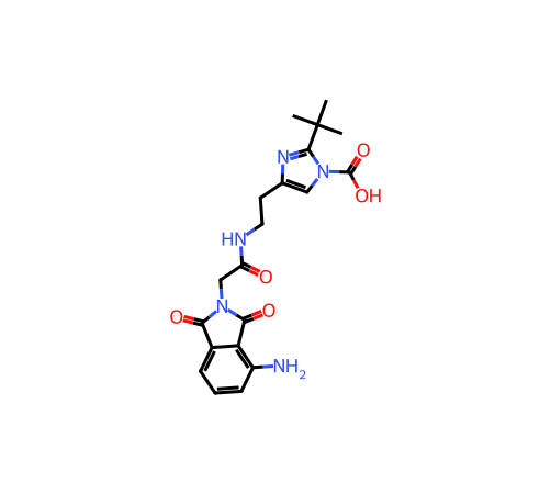 CC(C)(C)c1nc(CCNC(=O)CN2C(=O)c3cccc(N)c3C2=O)cn1C(=O)O